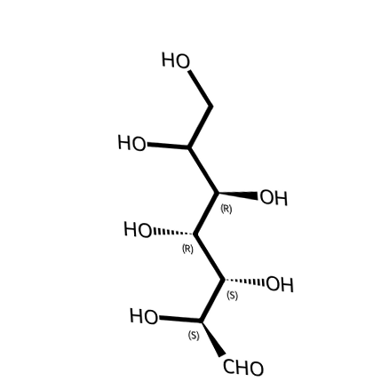 O=C[C@@H](O)[C@@H](O)[C@H](O)[C@H](O)C(O)CO